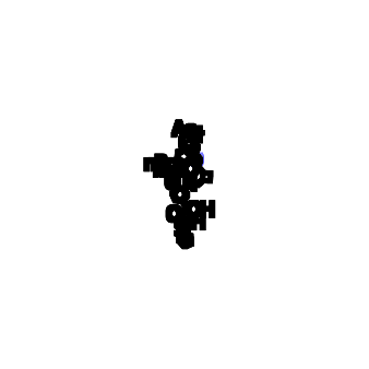 CCCc1cc(Cl)ccc1C1COc2ccc(C(O)C(=O)NSN3CCCC3)cc2N(CC2CCC2C(/C=C/CCN(C)C(C)=O)OC)C1